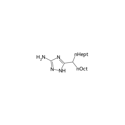 CCCCCCCCC(CCCCCCC)c1nc(N)n[nH]1